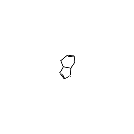 [CH]1C=NCC2SC=NC12